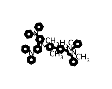 Cc1cc(-n2c3ccc(N(c4ccccc4)c4ccccc4)cc3c3cc(N(c4ccccc4)c4ccccc4)ccc32)c(C)cc1-c1ccc(-c2cc(-c3ccccc3C)nc(-c3ccccc3C)n2)cc1